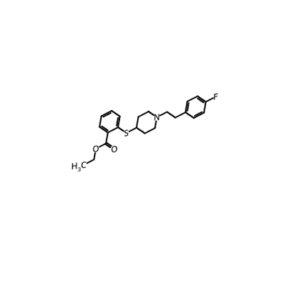 CCOC(=O)c1ccccc1SC1CCN(CCc2ccc(F)cc2)CC1